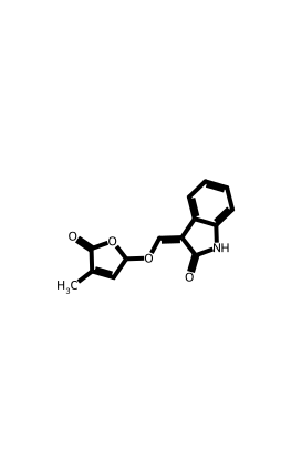 CC1=CC(OC=C2C(=O)Nc3ccccc32)OC1=O